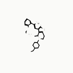 COCOc1ccccc1-c1cc2c3c([nH]c2nn1)CCN(C1CCC(CO)CC1)C3C